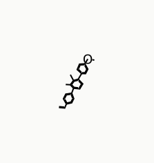 C=Cc1ccc(-c2ccc(-c3ccc(OC)cc3)c(C)c2C)cc1